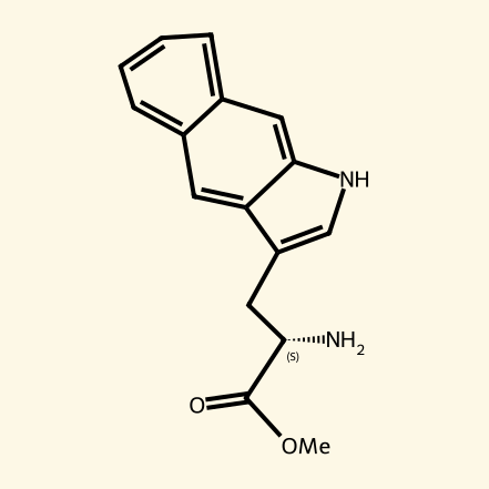 COC(=O)[C@@H](N)Cc1c[nH]c2cc3ccccc3cc12